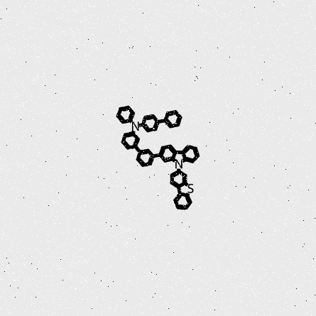 c1ccc(-c2ccc(N(c3ccccc3)c3cccc(-c4cccc(-c5ccc6c7ccccc7n(-c7ccc8c(c7)sc7ccccc78)c6c5)c4)c3)cc2)cc1